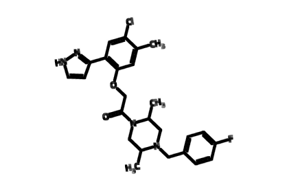 Cc1cc(OCC(=O)N2CC(C)N(Cc3ccc(F)cc3)CC2C)c(-c2cc[nH]n2)cc1Cl